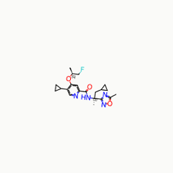 Cc1nc([C@](C)(CC2CC2)NC(=O)c2cc(O[C@@H](C)CF)c(C3CC3)cn2)no1